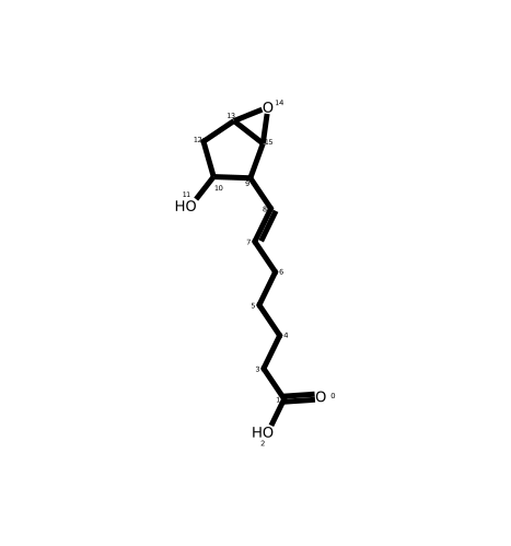 O=C(O)CCCCC=CC1C(O)CC2OC21